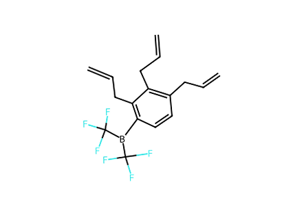 C=CCc1ccc(B(C(F)(F)F)C(F)(F)F)c(CC=C)c1CC=C